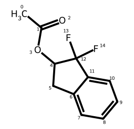 CC(=O)OC1Cc2ccccc2C1(F)F